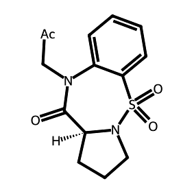 CC(=O)CN1C(=O)[C@@H]2CCCN2S(=O)(=O)c2ccccc21